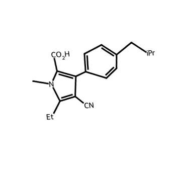 CCc1c(C#N)c(-c2ccc(CC(C)C)cc2)c(C(=O)O)n1C